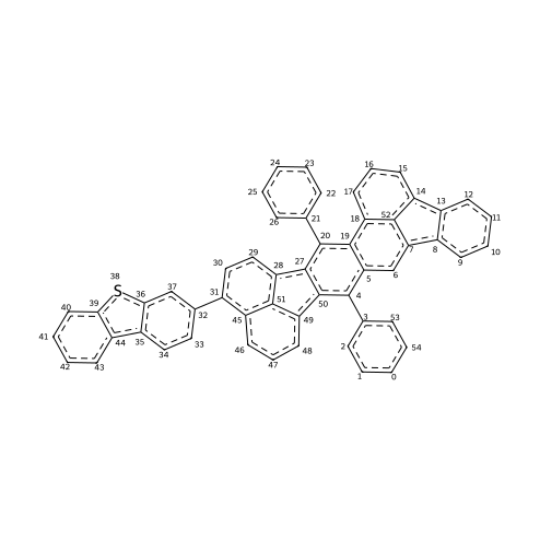 c1ccc(-c2c3cc4c5ccccc5c5cccc(c3c(-c3ccccc3)c3c6ccc(-c7ccc8c(c7)sc7ccccc78)c7cccc(c23)c76)c54)cc1